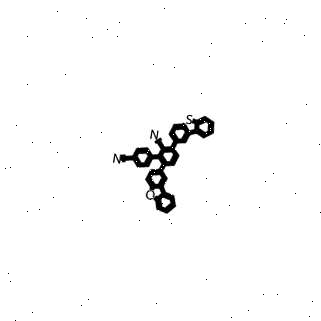 N#Cc1ccc(-c2c(-c3ccc4oc5ccccc5c4c3)ccc(-c3ccc4sc5ccccc5c4c3)c2C#N)cc1